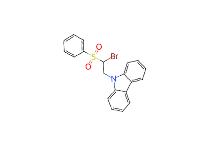 O=S(=O)(c1ccccc1)C(Br)Cn1c2ccccc2c2ccccc21